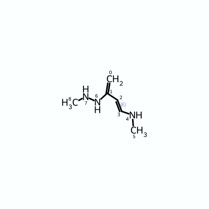 C=C(/C=C/NC)NNC